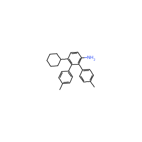 Cc1ccc(-c2c(N)ccc(C3CCCCC3)c2-c2ccc(C)cc2)cc1